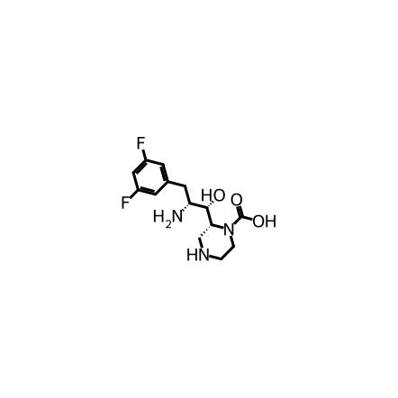 N[C@H](Cc1cc(F)cc(F)c1)[C@H](O)[C@H]1CNCCN1C(=O)O